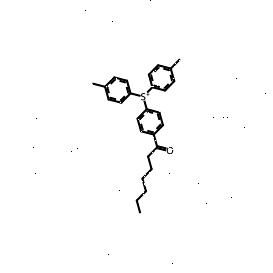 CCCCCCC(=O)c1ccc([S+](c2ccc(C)cc2)c2ccc(C)cc2)cc1